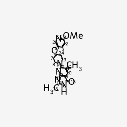 COc1ccc(OC2CCN(c3nc4nc(C)[nH]c(=O)c4cc3C)CC2)cn1